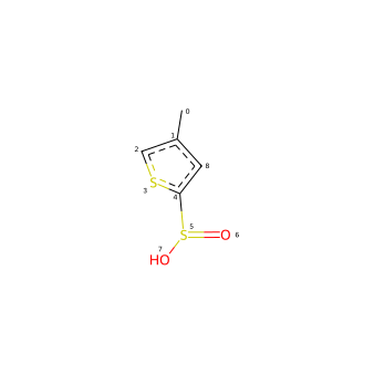 Cc1csc(S(=O)O)c1